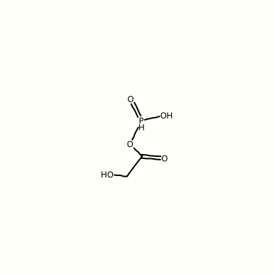 O=C(CO)O[PH](=O)O